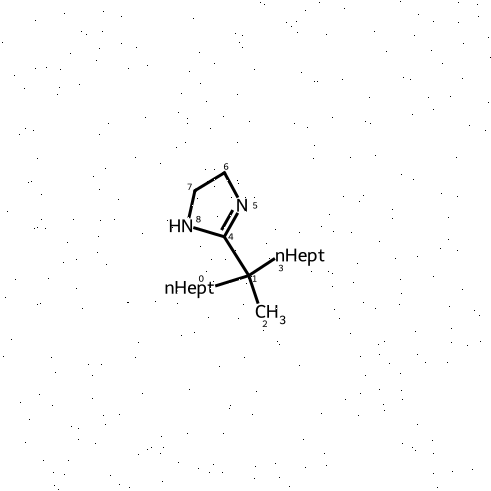 CCCCCCCC(C)(CCCCCCC)C1=NCCN1